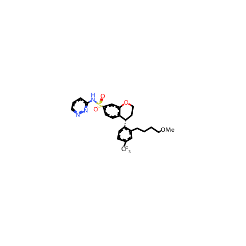 COCCCCc1cc(C(F)(F)F)ccc1[C@H]1CCOc2cc(S(=O)(=O)Nc3cccnn3)ccc21